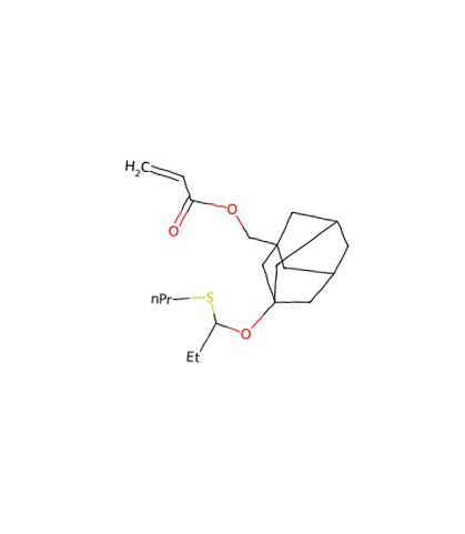 C=CC(=O)OCC12CC3CC(C1)CC(OC(CC)SCCC)(C3)C2